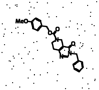 COc1ccc(COC(=O)N2CCc3ncn(Cc4ccccc4)c(=O)c3C2)cc1